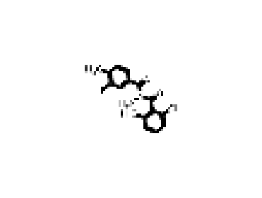 Cc1ccc(C(=O)N(N)C(=O)c2c(C)cccc2Cl)cc1I